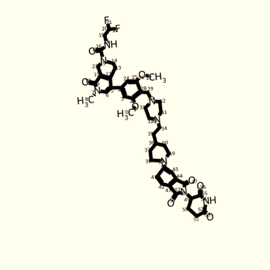 COc1cc(-c2cn(C)c(=O)c3c2CCN(C(=O)NCC(F)F)C3)cc(OC)c1CN1CCN(CCC2CCN(c3ccc4c(c3)C(=O)N(C3CCC(=O)NC3=O)C4=O)CC2)CC1